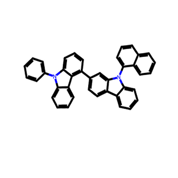 c1ccc(-n2c3ccccc3c3c(-c4ccc5c6ccccc6n(-c6cccc7ccccc67)c5c4)cccc32)cc1